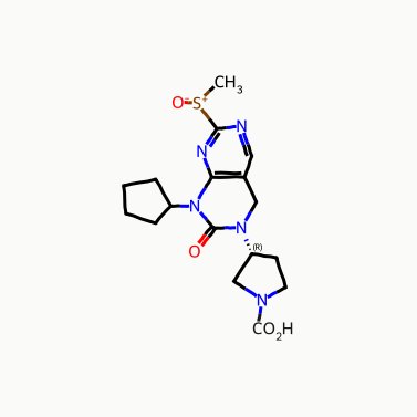 C[S+]([O-])c1ncc2c(n1)N(C1CCCC1)C(=O)N([C@@H]1CCN(C(=O)O)C1)C2